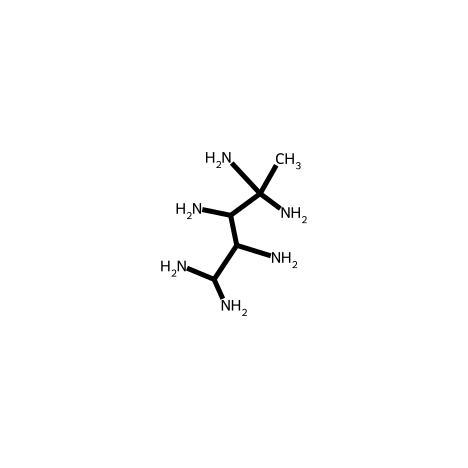 CC(N)(N)C(N)C(N)C(N)N